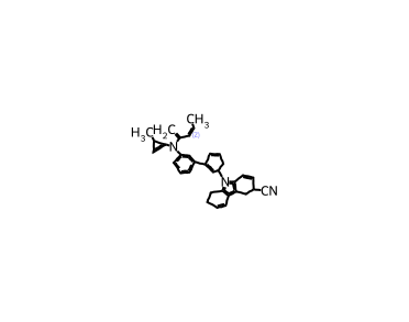 C=C(/C=C\C)N(C1=CC1C)c1cccc(C2=CC(n3c4c(c5c3CCC=C5)CC(C#N)C=C4)CC=C2)c1